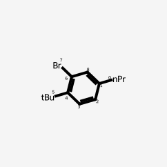 CCCc1ccc(C(C)(C)C)c(Br)c1